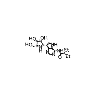 CCC(CC)C(=O)Nc1ncnc2c([C@@H]3N[C@H](CO)[C@@H](O)[C@H]3O)c[nH]c12